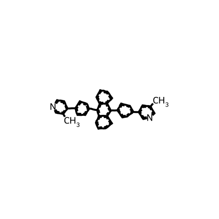 Cc1cncc(-c2ccc(-c3c4ccccc4c(-c4ccc(-c5ccncc5C)cc4)c4ccccc34)cc2)c1